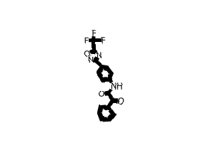 O=C(Nc1ccc(-c2noc(C(F)(F)F)n2)cc1)C(=O)c1ccccc1